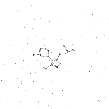 Cc1nnc(SCC(=O)O)n1-c1cccc(Cl)c1